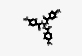 Cc1ccc(C(=O)OB(OC(=O)c2ccc(C)cc2)OC(=O)c2ccc(C)cc2)cc1